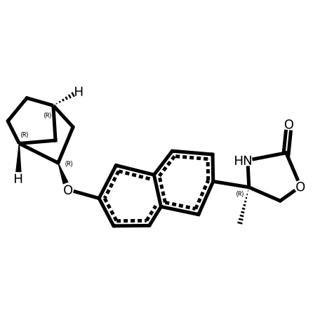 C[C@@]1(c2ccc3cc(O[C@@H]4C[C@@H]5CC[C@@H]4C5)ccc3c2)COC(=O)N1